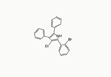 CCc1c(-c2ccccc2Br)[nH]c(-c2ccccc2)c1-c1ccccc1